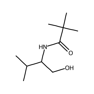 CC(C)C(CO)NC(=O)C(C)(C)C